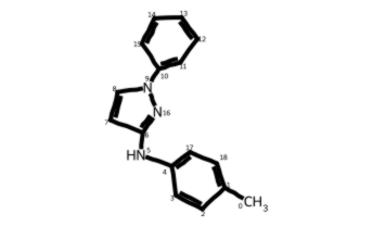 Cc1ccc(Nc2ccn(-c3ccccc3)n2)cc1